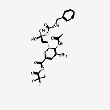 CC(=O)N[C@@H]1[C@@H](N)C=C(C(=O)OC(=O)C(F)(F)F)O[C@@H]1CCC(O)(O)OC(=O)NCc1ccccc1